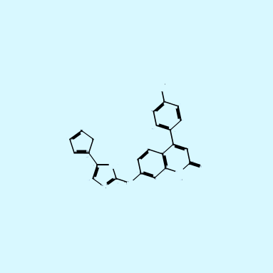 O=c1cc(-c2ccc(F)cc2)c2ccc(Sc3ncc(C4=CC=CC4)s3)cc2o1